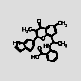 Cc1cc(C(C)Nc2ccccc2C(=O)O)c2oc(-c3ccc4cc[nH]c4c3)c(C)c(=O)c2c1